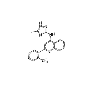 Cc1nc(Nc2cc(-c3ccccc3C(F)(F)F)nc3ccccc23)n[nH]1